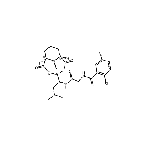 CC(C)CC(NC(=O)CNC(=O)c1cc(Cl)ccc1Cl)B1OC(=O)[C@H]2CCC[C@H](C(=O)O1)N2C